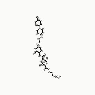 O=C(CCCCS(=O)(=O)O)N1C[C@H]2C[C@@H]1CN2C(=O)Cc1ccc(OCCCC2CCN(c3ncc(Cl)cn3)CC2)cc1F